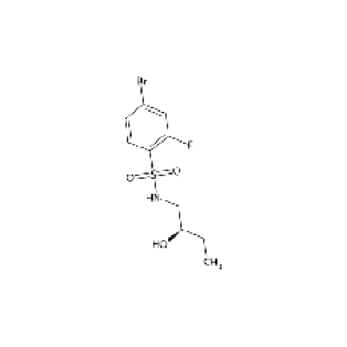 CC[C@@H](O)CNS(=O)(=O)c1ccc(Br)cc1F